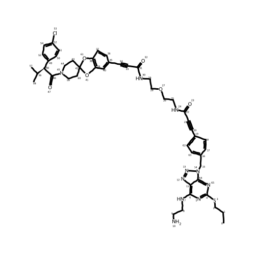 CCCSc1nc(NCCN)c2nnn(Cc3ccc(C#CC(=O)NCCOCCNC(=O)C#Cc4ccc5c(c4)OC4(CCN(C(=O)[C@H](c6ccc(Cl)cc6)C(C)C)CC4)O5)cc3)c2n1